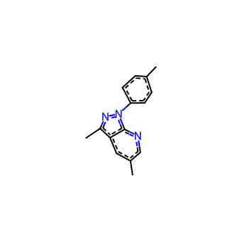 Cc1ccc(-n2nc(C)c3cc(C)cnc32)cc1